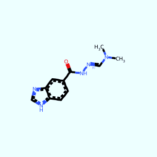 CN(C)/C=N/NC(=O)c1ccc2[nH]cnc2c1